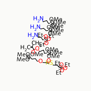 C=C(C)C(=O)OCCC[Si](OC)(OC)OC.CCO[Si](CCCN)(OCC)OCC.CCO[Si](CCCS)(OCC)OCC.CO[Si](CCCN)(OC)OC.CO[Si](CCCN)(OC)OC.CO[Si](CCCOCC1CO1)(OC)OC